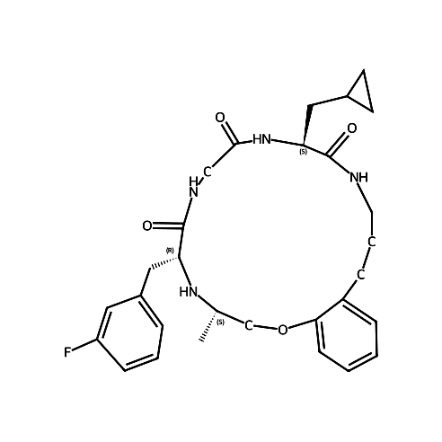 C[C@H]1COc2ccccc2CCCNC(=O)[C@H](CC2CC2)NC(=O)CNC(=O)[C@@H](Cc2cccc(F)c2)N1